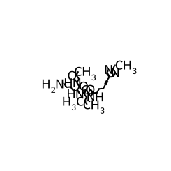 CCc1ncc(C#CCCCC(=O)N[C@H](C(=O)N[C@@H](CCCCN)C(=O)NCC(C)=O)C(C)C)cn1